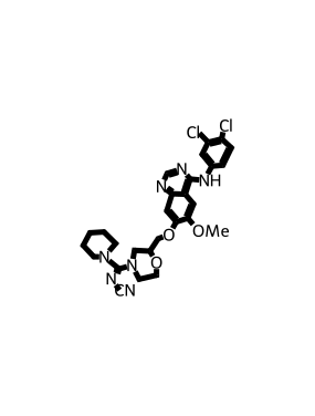 COc1cc2c(Nc3ccc(Cl)c(Cl)c3)ncnc2cc1OCC1CN(/C(=N\C#N)N2CCCCC2)CCO1